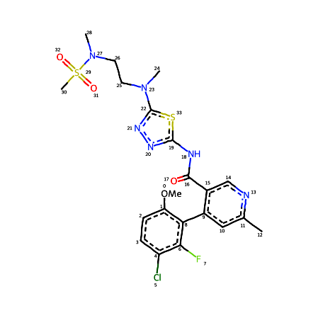 COc1ccc(Cl)c(F)c1-c1cc(C)ncc1C(=O)Nc1nnc(N(C)CCN(C)S(C)(=O)=O)s1